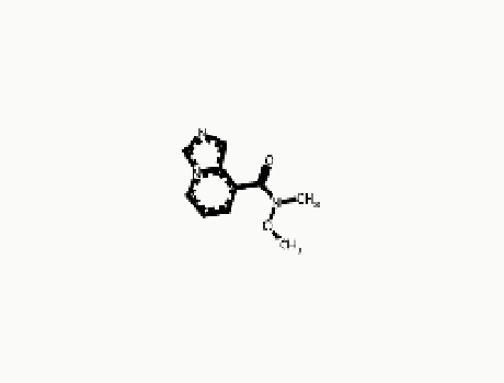 CON(C)C(=O)c1cccn2cncc12